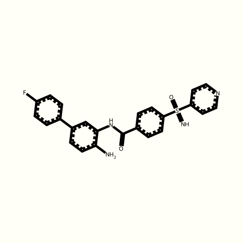 N=S(=O)(c1ccncc1)c1ccc(C(=O)Nc2cc(-c3ccc(F)cc3)ccc2N)cc1